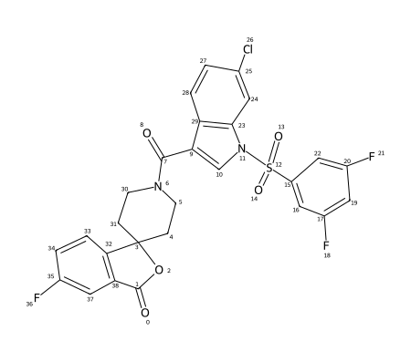 O=C1OC2(CCN(C(=O)c3cn(S(=O)(=O)c4cc(F)cc(F)c4)c4cc(Cl)ccc34)CC2)c2ccc(F)cc21